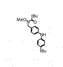 CON(Cc1ccc(Nc2ccc(C(C)(C)C)cc2)cc1)C(=O)C(C)(C)C